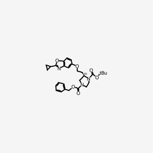 CC(C)(C)OC(=O)N1CCN(C(=O)OCc2ccccc2)C[C@H]1CCOc1ccc2oc(C3CC3)nc2c1